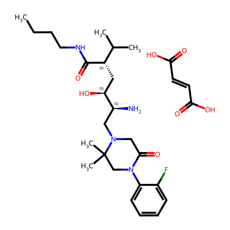 CCCCNC(=O)[C@@H](C[C@H](O)[C@@H](N)CN1CC(=O)N(c2ccccc2F)CC1(C)C)C(C)C.O=C(O)C=CC(=O)O